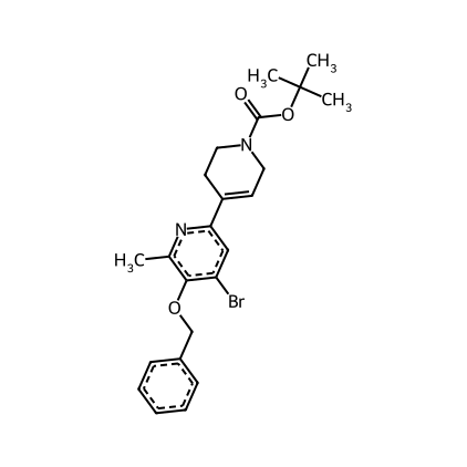 Cc1nc(C2=CCN(C(=O)OC(C)(C)C)CC2)cc(Br)c1OCc1ccccc1